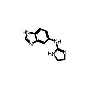 c1nc2cc(NC3=NCCN3)ccc2[nH]1